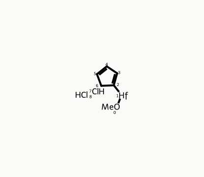 C[O][Hf][C]1=CC=CC1.Cl.Cl